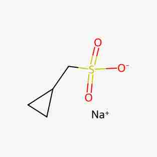 O=S(=O)([O-])CC1CC1.[Na+]